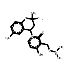 C[SiH](C)OCc1c(C(C)(C)C)ccn(C2CC(C)(C)Oc3ccc(C(F)(F)F)cc32)c1=O